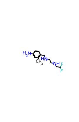 Nc1ccc(CNCCNCC(F)F)c(C(F)(F)F)c1